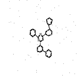 [c]1ccc(-c2nc(-c3cccc(-c4ccccc4)c3)cc(-c3cccc(-c4ccccc4)c3)n2)cc1